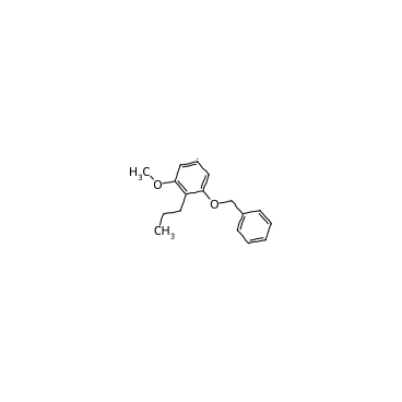 CCCc1c(OC)c[c]cc1OCc1ccccc1